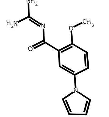 COc1ccc(-n2cccc2)cc1C(=O)N=C(N)N